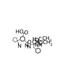 CC(C)(C)OC(=O)NC(C)(Cc1ccccc1)c1nnc(-c2cc(C(=O)O)cc(C3(C#N)CCCC3)c2)o1